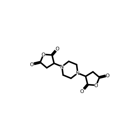 O=C1CC(N2CCN(C3CC(=O)OC3=O)CC2)C(=O)O1